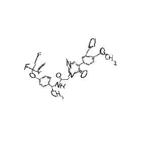 COc1ccc(-c2cncn(CC(=O)N[C@@H](C)c3ccc(OC(F)(F)F)cc3)c2=O)cc1Cl